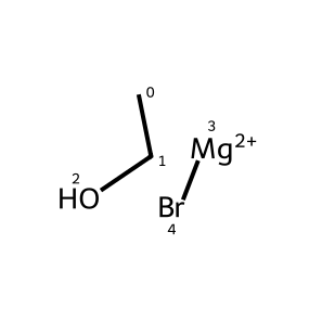 CCO.[Mg+2][Br]